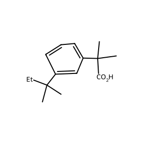 CCC(C)(C)c1cccc(C(C)(C)C(=O)O)c1